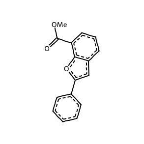 COC(=O)c1cccc2cc(-c3ccccc3)oc12